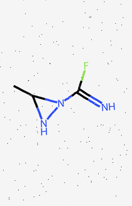 CC1NN1C(=N)F